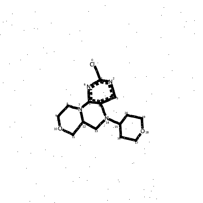 Clc1ncc2c(n1)N1CCOCC1CN2C1CCOCC1